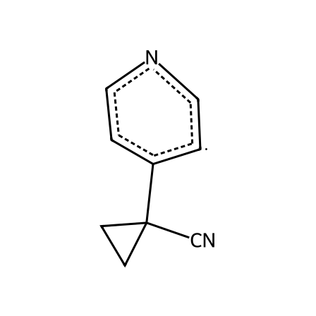 N#CC1(c2[c]cncc2)CC1